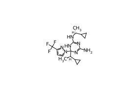 C[C@H](C1CC1)C1(n2ccc(C(F)(F)F)n2)N=C(N)N=C(N[C@H](C)C2CC2)N1